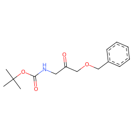 CC(C)(C)OC(=O)NCC(=O)COCc1ccccc1